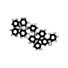 c1ccc(C2(c3ccc4oc5ccccc5c4c3)c3ccccc3N(c3cccc(N4c5ccccc5[Si](c5ccccc5)(c5ccccc5)c5ccccc54)c3)c3ccccc32)cc1